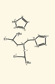 CCCCC(CC)CN(CC(CC)CCCC)Cn1cncn1.c1c[nH]nn1